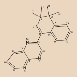 CC1(C)N=C(c2cnc3ncccc3n2)c2ccccc2C1(C)C